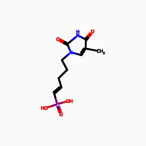 Cc1cn(CCC/C=C/P(=O)(O)O)c(=O)[nH]c1=O